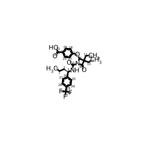 CCC[C@@H](NC(=O)N1C(=O)C(CC)(CC)C1Oc1ccc(C(=O)O)cc1)c1ccc(C(F)(F)F)cc1